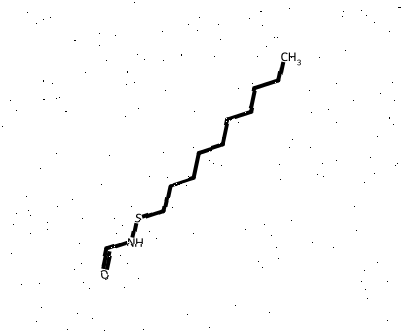 CCCCCCCCCCSNC=O